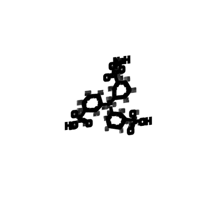 O=S(=O)(O)c1cccc(P(c2cccc(S(=O)(=O)O)c2)c2cccc(S(=O)(=O)O)c2)c1.[NaH]